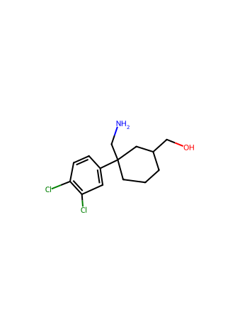 NCC1(c2ccc(Cl)c(Cl)c2)CCCC(CO)C1